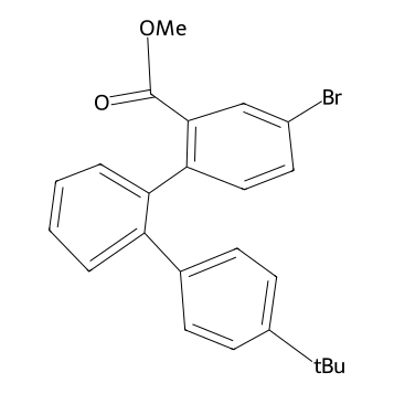 COC(=O)c1cc(Br)ccc1-c1ccccc1-c1ccc(C(C)(C)C)cc1